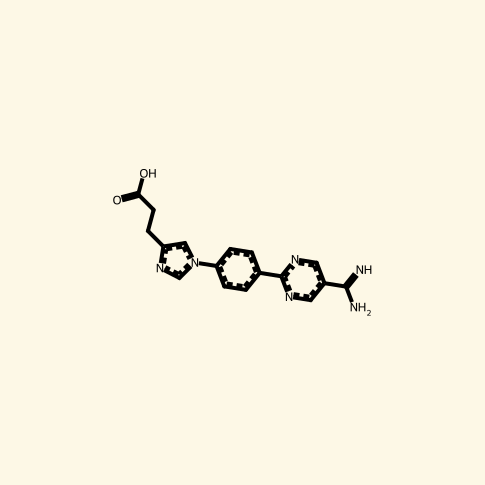 N=C(N)c1cnc(-c2ccc(-n3cnc(CCC(=O)O)c3)cc2)nc1